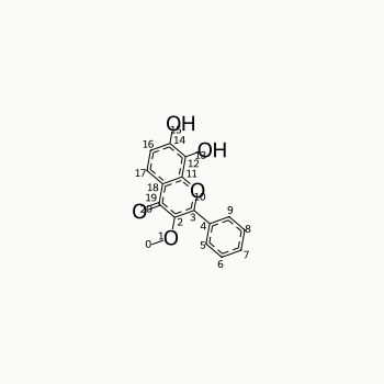 COc1c(-c2ccccc2)oc2c(O)c(O)ccc2c1=O